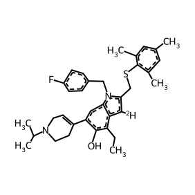 [2H]c1c(CSc2c(C)cc(C)cc2C)n(Cc2ccc(F)cc2)c2cc(C3=CCN(C(C)C)CC3)c(O)c(CC)c12